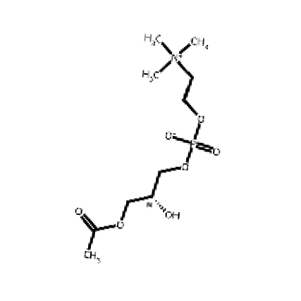 CC(=O)OC[C@@H](O)COP(=O)([O-])OCC[N+](C)(C)C